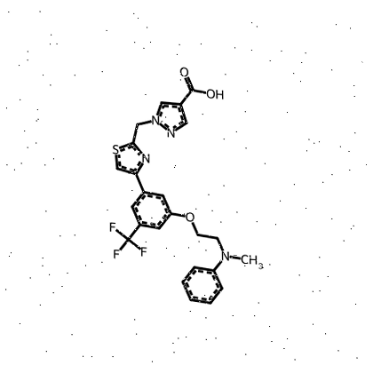 CN(CCOc1cc(-c2csc(Cn3cc(C(=O)O)cn3)n2)cc(C(F)(F)F)c1)c1ccccc1